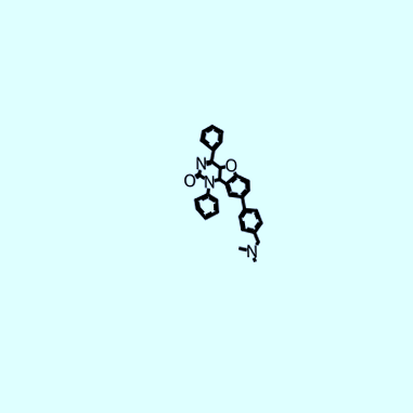 CN(C)Cc1ccc(-c2ccc3c(c2)C2C(O3)C(c3ccccc3)=NC(=O)N2c2ccccc2)cc1